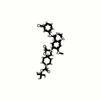 COc1cc2ncnc(Oc3cccc(Cl)c3)c2cc1N1CC2(CCN(C(=O)OC(C)(C)C)CC2)OC1=O